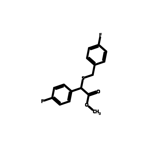 COC(=O)C(SCc1ccc(F)cc1)c1ccc(F)cc1